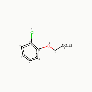 CCOC(=O)COc1cc[c]cc1Cl